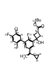 C=C(c1cc(C2(O)CN(C(=O)OC(C)(C)C)C2)c(F)c(-c2cc(Cl)c(F)cc2F)n1)C1CC1